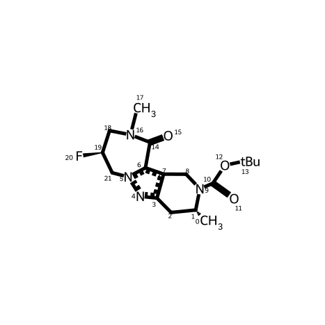 C[C@@H]1Cc2nn3c(c2CN1C(=O)OC(C)(C)C)C(=O)N(C)C[C@H](F)C3